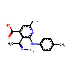 C/N=C(/C)c1c(C(=O)O)cc(C)nc1Nc1ccc(C)cc1